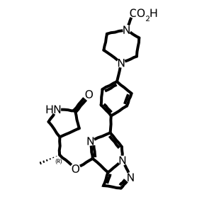 C[C@@H](Oc1nc(-c2ccc(N3CCN(C(=O)O)CC3)cc2)cn2nccc12)C1CNC(=O)C1